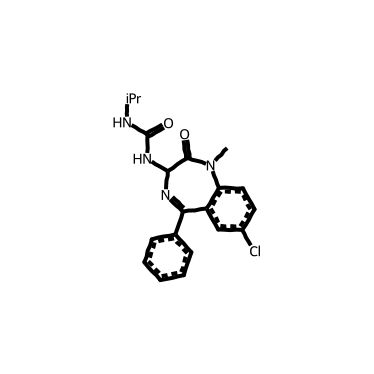 CC(C)NC(=O)NC1N=C(c2ccccc2)c2cc(Cl)ccc2N(C)C1=O